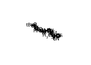 CCc1nc2ccc(-c3cnc(CC(=O)NC4CCN(C(=O)OC(C)(C)C)CC4)nc3)cn2c1N(C)c1nc(-c2ccc(F)cc2)c(C#N)s1